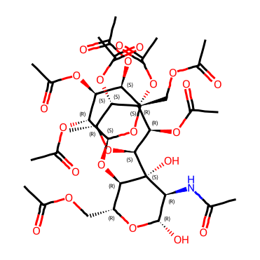 CC(=O)N[C@H]1[C@H](O)O[C@H](COC(C)=O)[C@@H](O[C@@H]2O[C@H](COC(C)=O)[C@H](OC(C)=O)[C@H](OC(C)=O)[C@H]2OC(C)=O)[C@@]1(O)[C@H]1O[C@H](C)[C@H](OC(C)=O)[C@H](OC(C)=O)[C@H]1OC(C)=O